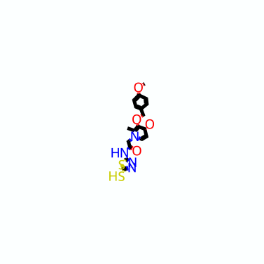 COc1ccc(COc2c(C)n(CC(=O)Nc3nnc(S)s3)ccc2=O)cc1